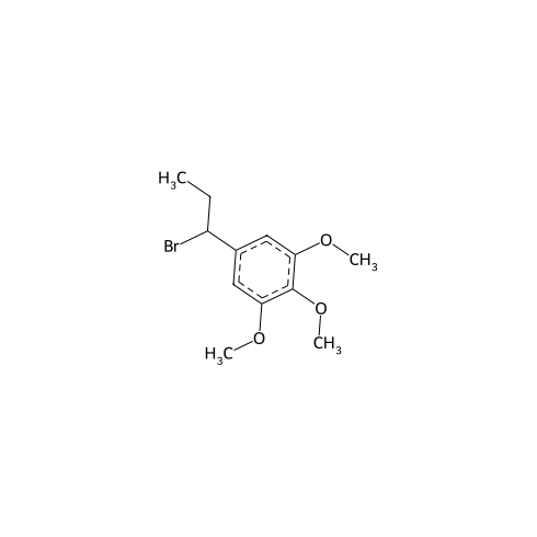 CCC(Br)c1cc(OC)c(OC)c(OC)c1